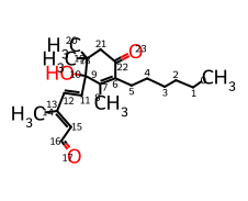 CCCCCCC1=C(C)C(O)(C=CC(C)=CC=O)C(C)(C)CC1=O